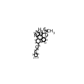 CN(C)C(=O)c1sc2ncnc(C3CCC(COCCN4CCCC4)CC3)c2c1-c1ccccc1